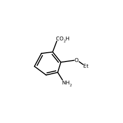 CCOc1c(N)cccc1C(=O)O